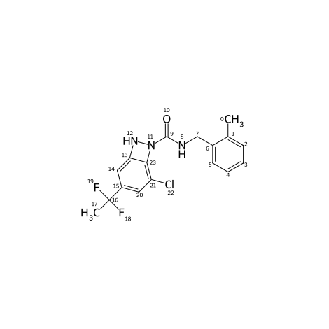 Cc1ccccc1CNC(=O)n1[nH]c2cc(C(C)(F)F)cc(Cl)c21